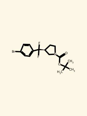 CC(C)(C)OC(=O)N1CC[C@H](C(F)(F)c2ccc(Br)cc2)C1